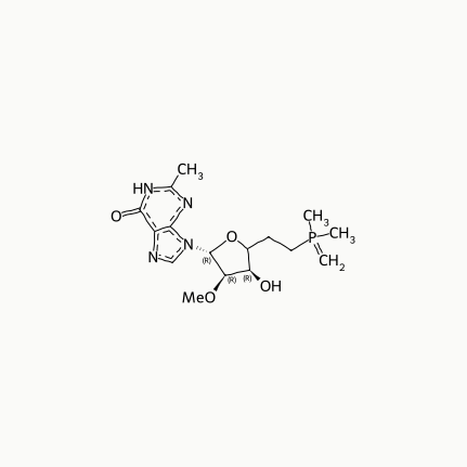 C=P(C)(C)CCC1O[C@@H](n2cnc3c(=O)[nH]c(C)nc32)[C@H](OC)[C@@H]1O